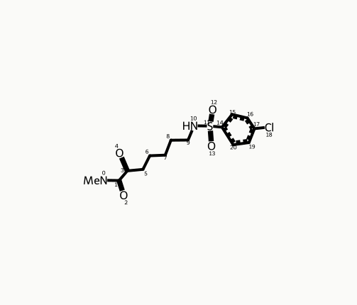 CNC(=O)C(=O)CCCCCNS(=O)(=O)c1ccc(Cl)cc1